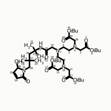 CC(C)COC(=O)CN(CCN(CCN(CC(=O)OCC(C)C)CC(=O)OCC(C)C)CC(=O)NC(C)(C)CC(C)(C)CN1C(=O)C=CC1O)CC(=O)OCC(C)C